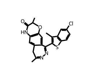 CC1=NN=C(c2sc3ccc(Cl)cc3c2C)c2cc3c(cc2C1)NC(=O)C(C)O3